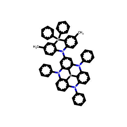 Cc1ccc2c(c1)[Si](c1ccccc1)(c1ccccc1)c1cc(C)ccc1N2c1cc2c3c(c1)N(c1ccccc1)c1cccc4c1B3c1c(cccc1N2c1ccccc1)N4c1ccccc1